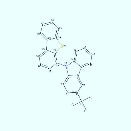 CC(C)(C)c1ccc2c(c1)c1ccccc1n2-c1cccc2c1sc1ccccc12